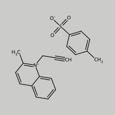 C#CC[n+]1c(C)ccc2ccccc21.Cc1ccc(S(=O)(=O)[O-])cc1